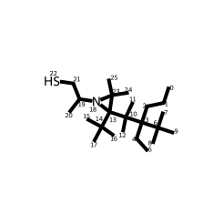 CCCC(CC)(C(C)(C)C)C(C)(C)C1(C(C)(C)C)N(C(C)CS)C1(C)C